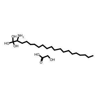 CCCCCCCCCCCCCCCCCCC(N)C(O)(O)O.O=C(O)CO